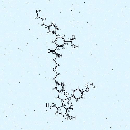 COc1ccc(S(=O)(=O)N(Cc2cn(CCOCCNC(=O)c3cc(C(=O)O)cc(-n4cc(CCCF)nn4)c3)nn2)[C@@H](C(=O)NO)C(C)C)cc1